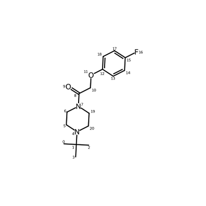 CC(C)(C)N1CCN(C(=O)COc2ccc(F)cc2)CC1